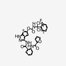 CC(C)(NC(=O)Oc1cc2c(NC(=O)c3ccccc3NC(=O)c3ccco3)n[nH]c2s1)c1ccccc1F